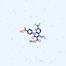 COC(=O)c1c(N)c2ccc(C(F)F)nc2n(-c2ccc(C(C)O)cc2)c1=O